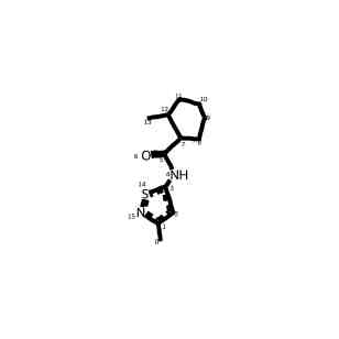 Cc1cc(NC(=O)C2CCCCC2C)sn1